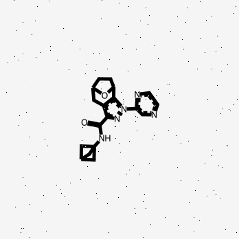 O=C(NC12CC(C1)C2)c1nn(-c2cnccn2)c2c1CC1CCC2O1